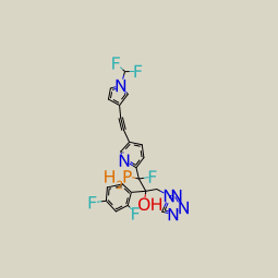 OC(Cn1cnnn1)(c1ccc(F)cc1F)C(F)(P)c1ccc(C#Cc2ccn(C(F)F)c2)cn1